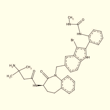 CNC(=O)Nc1ccccc1-c1[nH]c2ccc(CN3C(=O)[C@H](NC(=O)CC(C)(C)N)CCc4ccccc43)cc2c1Br